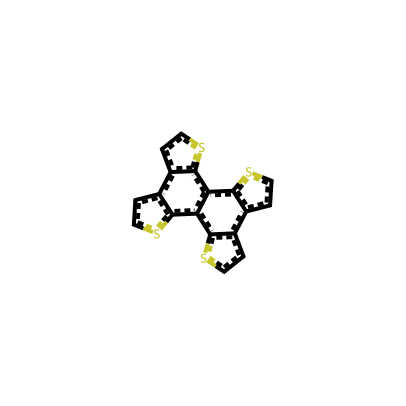 c1cc2c3ccsc3c3c4sccc4c4ccsc4c3c2s1